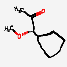 CO[C@H](C(C)=O)C1CCCCC1